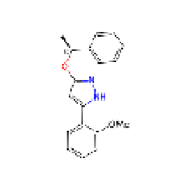 COc1ccccc1-c1cc(O[C@@H](C)c2ccccc2)n[nH]1